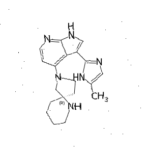 Cc1cnc(-c2c[nH]c3nccc(N4CC[C@]5(CCCCN5)C4)c23)[nH]1